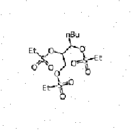 CCCCC(OS(=O)(=O)CC)C(COS(=O)(=O)CC)OS(=O)(=O)CC